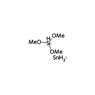 CO[SiH](OC)OC.[SnH2]